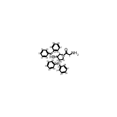 NCC(=O)N1C[C@H](BP(c2ccccc2)c2ccccc2)[C@@H](P(c2ccccc2)c2ccccc2)C1